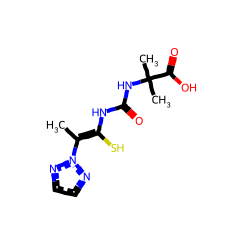 C/C(=C(/S)NC(=O)NC(C)(C)C(=O)O)n1nccn1